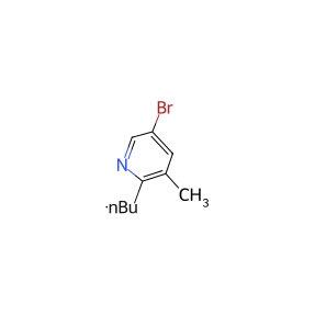 CCC[CH]c1ncc(Br)cc1C